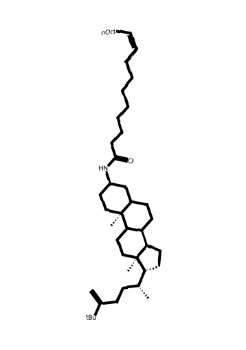 C=C(CC[C@@H](C)[C@H]1CCC2C3CCC4CC(NC(=O)CCCCCCC/C=C\CCCCCCCC)CC[C@]4(C)C3CC[C@@]21C)C(C)(C)C